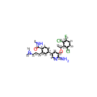 CNC(=O)c1ccc(-c2cnc(N)c(OC(C)c3c(Cl)ccc(F)c3Cl)c2)cc1CCCN(C)C